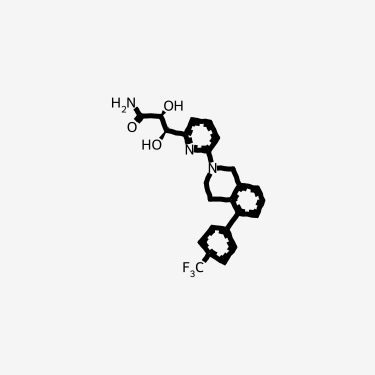 NC(=O)[C@@H](O)[C@H](O)c1cccc(N2CCc3c(cccc3-c3ccc(C(F)(F)F)cc3)C2)n1